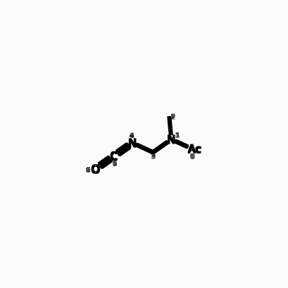 CC(=O)N(C)CN=C=O